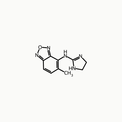 Cc1ccc2nonc2c1NC1=NCCN1